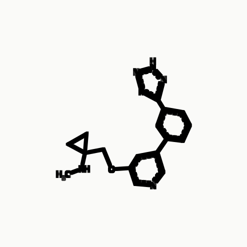 CNC1(COc2cncc(-c3cccc(-c4nn[nH]n4)c3)c2)CC1